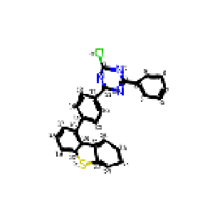 Clc1nc(-c2ccccc2)nc(-c2ccc(-c3cccc4sc5ccccc5c34)cc2)n1